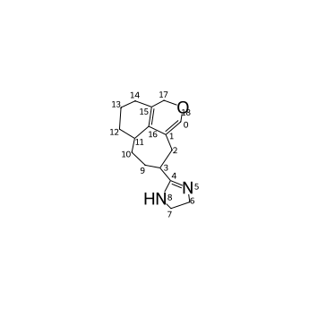 C1=C2CC(C3=NCCN3)CCC3CCCC(=C23)CO1